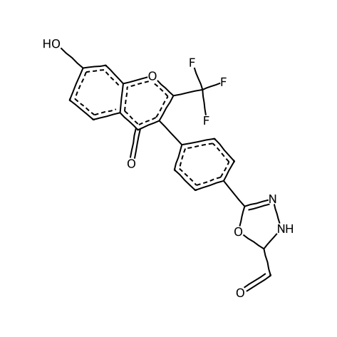 O=CC1NN=C(c2ccc(-c3c(C(F)(F)F)oc4cc(O)ccc4c3=O)cc2)O1